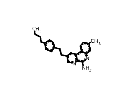 CCCCc1ccc(CCc2cnc3c(N)nc4cc(C)ccc4c3c2)cc1